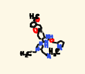 C=CCN1CCN(C2NC(OCC3CCCN3C)NC3C[C@]4(CCc5c(OC)cccc5O4)CCC32)CC1CC#N